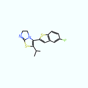 CC(C)C1=C(c2cc3cc(F)ccc3s2)N2CCN=C2S1